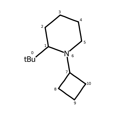 CC(C)(C)C1CCCCN1C1CCC1